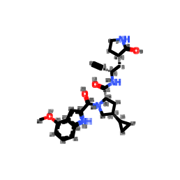 C#C[C@H](C[C@@H]1CCNC1=O)NC(=O)[C@@H]1C[C@@H](C2CC2)CN1C(=O)c1cc2c(OC)cccc2[nH]1